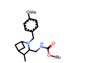 COc1ccc(CN2C3CC(C3)C(C)C2CNC(=O)OC(C)(C)C)cc1